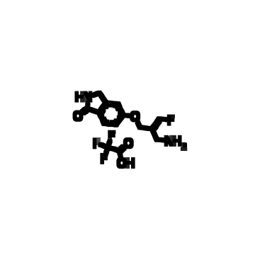 NCC(=CF)COc1ccc2c(c1)CNC2=O.O=C(O)C(F)(F)F